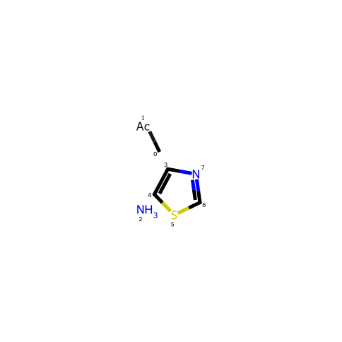 CC(C)=O.N.c1cscn1